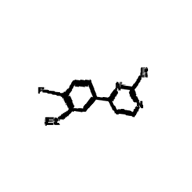 CCc1nccc(-c2ccc(F)c(CC)c2)n1